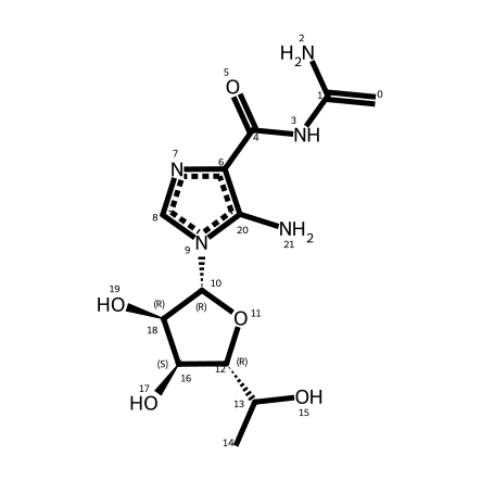 C=C(N)NC(=O)c1ncn([C@@H]2O[C@H](C(C)O)[C@@H](O)[C@H]2O)c1N